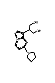 OCC(CO)c1cnn2ccc(N3CCCC3)nc12